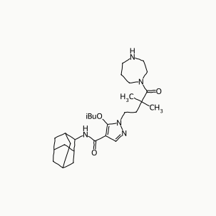 CC(C)COc1c(C(=O)NC2C3CC4CC(C3)CC2C4)cnn1CCC(C)(C)C(=O)N1CCCNCC1